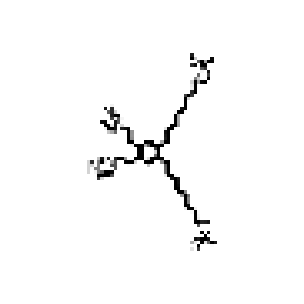 CC(=S)OCCCCCCCCc1cc(CCn2ccnc2)c(CCn2ccnc2)cc1CCCCCCCCOC(C)=S